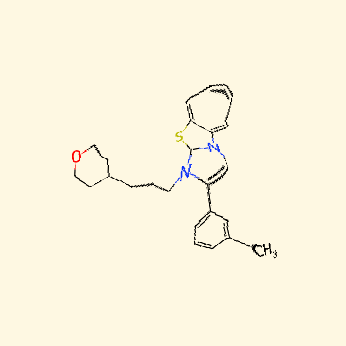 Cc1cccc(C2=CN3c4ccccc4SC3N2CCCC2CCOCC2)c1